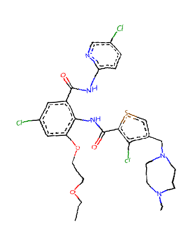 CCOCCOc1cc(Cl)cc(C(=O)Nc2ccc(Cl)cn2)c1NC(=O)c1scc(CN2CCN(C)CC2)c1Cl